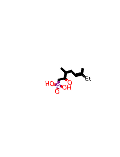 CCC(C)=CCC(C)C(=O)CP(=O)(O)O